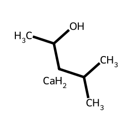 CC(C)CC(C)O.[CaH2]